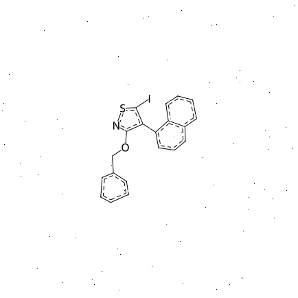 Ic1snc(OCc2ccccc2)c1-c1cccc2ccccc12